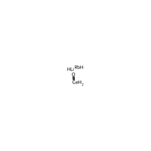 [LiH].[O]=[GeH2].[RbH]